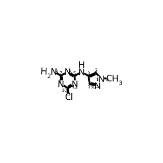 Cn1cc(Nc2nc(N)nc(Cl)n2)cn1